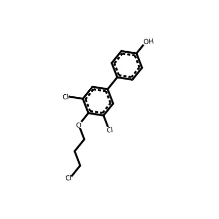 Oc1ccc(-c2cc(Cl)c(OCCCCl)c(Cl)c2)cc1